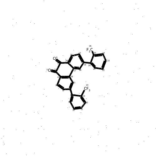 O=C1C(=O)c2ccc(-c3ccccc3C(F)(F)F)cc2-c2cc(-c3ccccc3C(F)(F)F)ccc21